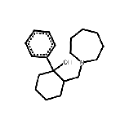 OC1(c2ccccc2)CCCCC1CN1CCCCCC1